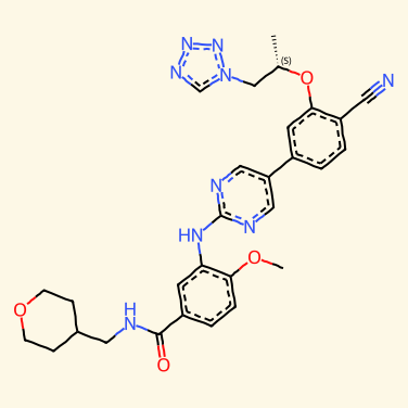 COc1ccc(C(=O)NCC2CCOCC2)cc1Nc1ncc(-c2ccc(C#N)c(O[C@@H](C)Cn3cnnn3)c2)cn1